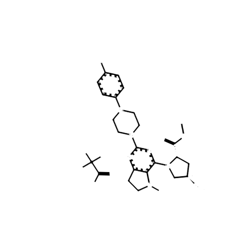 COC(=O)[C@@H]1C[C@@H](N)CN1c1nc(N2CCN(c3ccc(Cl)cc3)CC2)nc2c1[S+]([O-])CC2.O=C(O)C(F)(F)F